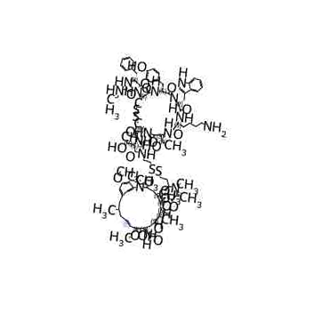 CCNC(=O)N[C@H](Cc1ccccc1)C(=O)N[C@H]1CSSC[C@@H](C(=O)N[C@H](C(=O)NCCSSCCC(=O)N(C)[C@@H](C)C(=O)O[C@@]23O[C@H]2[C@H](C)[C@@H]2C[C@@](O)(NC(=O)O2)[C@H](OC)/C=C/CC(C)Cc2cc(OC)c(Cl)c(c2)N(C)C(=O)C[C@@H]3C)[C@@H](C)O)NC(=O)[C@H]([C@@H](C)O)NC(=O)[C@H](CCCCN)NC(=O)[C@@H](Cc2c[nH]c3ccccc23)NC(=O)[C@H](Cc2ccc(O)cc2)NC1=O